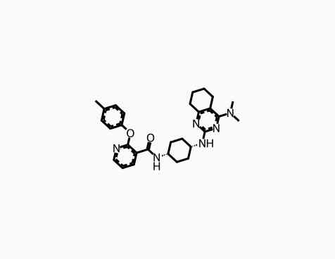 Cc1ccc(Oc2ncccc2C(=O)N[C@H]2CC[C@@H](Nc3nc4c(c(N(C)C)n3)CCCC4)CC2)cc1